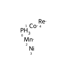 P.[Co].[Mn].[Ni].[Re]